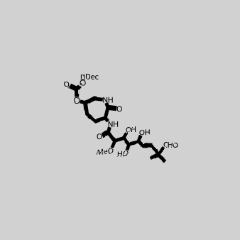 CCCCCCCCCCOC(=O)OC1CCC(NC(=O)C(OC)C(O)C(O)C(O)C=CC(C)(C)C=O)C(=O)NC1